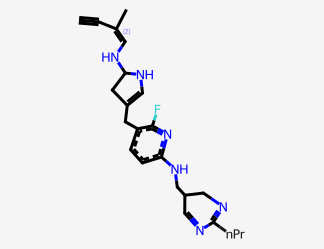 C#C/C(C)=C\NC1CC(Cc2ccc(NCC3C=NC(CCC)=NC3)nc2F)=CN1